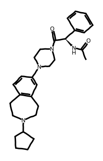 CC(=O)N[C@@H](C(=O)N1CCN(c2ccc3c(c2)CCN(C2CCCC2)CC3)CC1)c1ccccc1